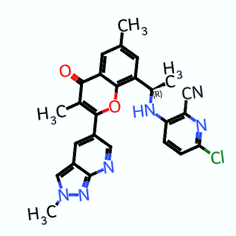 Cc1cc([C@@H](C)Nc2ccc(Cl)nc2C#N)c2oc(-c3cnc4nn(C)cc4c3)c(C)c(=O)c2c1